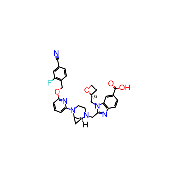 N#Cc1ccc(COc2cccc(N3CCN(Cc4nc5ccc(C(=O)O)cc5n4C[C@@H]4CCO4)[C@H]4CC43)n2)c(F)c1